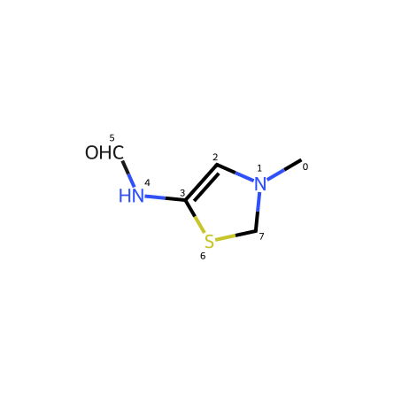 CN1C=C(NC=O)SC1